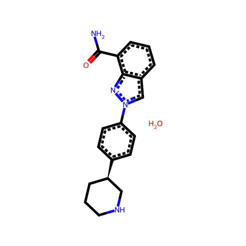 NC(=O)c1cccc2cn(-c3ccc([C@@H]4CCCNC4)cc3)nc12.O